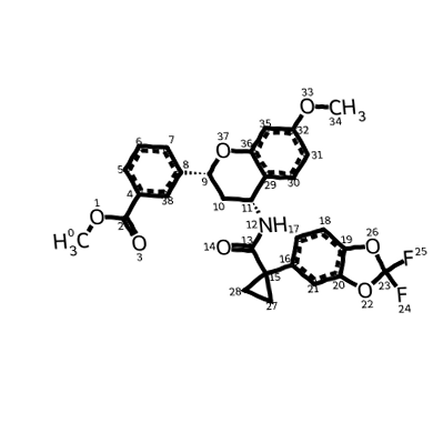 COC(=O)c1cccc([C@H]2C[C@@H](NC(=O)C3(c4ccc5c(c4)OC(F)(F)O5)CC3)c3ccc(OC)cc3O2)c1